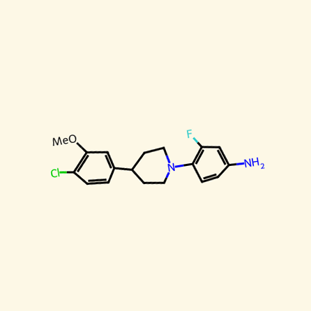 COc1cc(C2CCN(c3ccc(N)cc3F)CC2)ccc1Cl